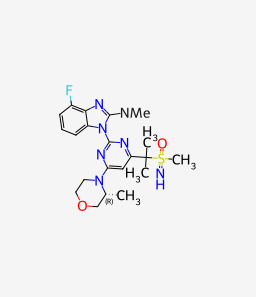 CNc1nc2c(F)cccc2n1-c1nc(N2CCOC[C@H]2C)cc(C(C)(C)S(C)(=N)=O)n1